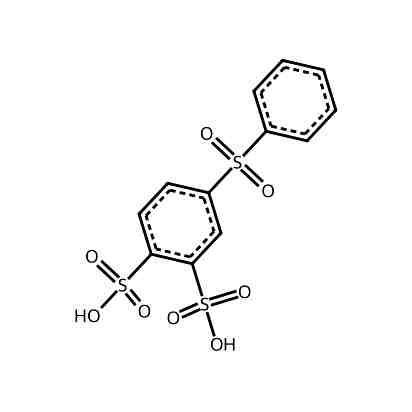 O=S(=O)(O)c1ccc(S(=O)(=O)c2ccccc2)cc1S(=O)(=O)O